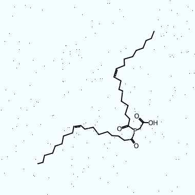 CCCCCCCC/C=C\CCCCCCCC(=O)P(CC(=O)O)C(=O)CCCCCCC/C=C\CCCCCCCC